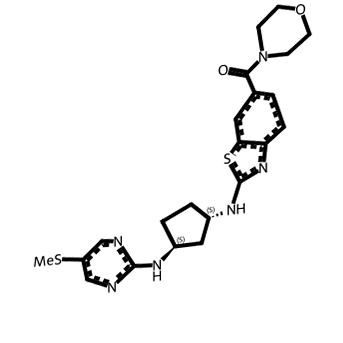 CSc1cnc(N[C@H]2CC[C@H](Nc3nc4ccc(C(=O)N5CCOCC5)cc4s3)C2)nc1